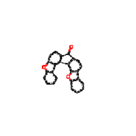 O=C1c2ccc3c(oc4ccccc43)c2-c2c1ccc1oc3ccccc3c21